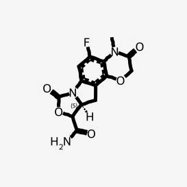 CN1C(=O)COc2c3c(cc(F)c21)N1C(=O)OC(C(N)=O)[C@@H]1C3